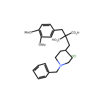 COc1ccc(CC(CC2CCN(Cc3ccccc3)CC2)(C(=O)O)C(=O)O)cc1OC.Cl